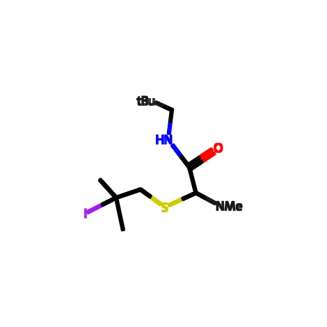 CNC(SCC(C)(C)I)C(=O)NCC(C)(C)C